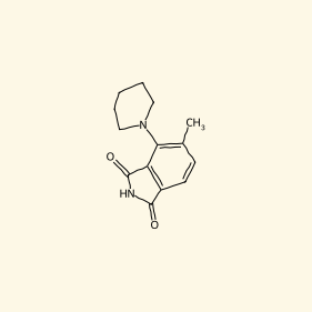 Cc1ccc2c(c1N1CCCCC1)C(=O)NC2=O